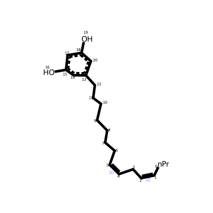 CCC/C=C\C/C=C\CCCCCCCc1cc(O)cc(O)c1